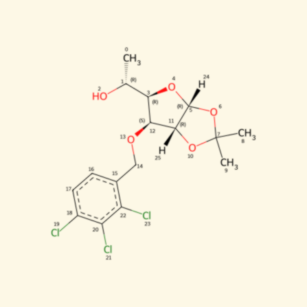 C[C@@H](O)[C@H]1O[C@@H]2OC(C)(C)O[C@@H]2[C@H]1OCc1ccc(Cl)c(Cl)c1Cl